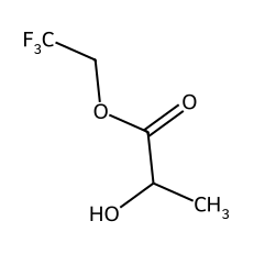 CC(O)C(=O)OCC(F)(F)F